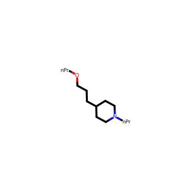 [CH2]CCN1CCC(CCCOCCC)CC1